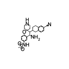 CS(=O)(=O)Nc1ccc2c(c1)C(N)C(C1CCc3cc(C#N)ccc3C1)C1(CCNCC1)O2